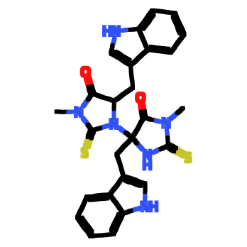 CN1C(=O)C(Cc2c[nH]c3ccccc23)(N2C(=S)N(C)C(=O)C2Cc2c[nH]c3ccccc23)NC1=S